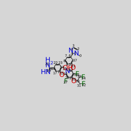 Cn1ccnc1-c1cccc(Oc2nc(Oc3cc(C(=N)N)ccc3O)c(F)c(OC(CF)CF)c2F)c1